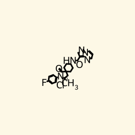 C[C@@H]1CC2(CCC(NC(=O)c3cnn4cccnc34)CC2)C(=O)N1c1ccc(F)cc1Cl